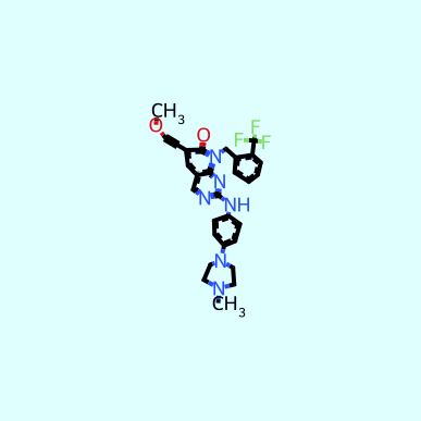 COC#Cc1cc2cnc(Nc3ccc(N4CCN(C)CC4)cc3)nc2n(Cc2ccccc2C(F)(F)F)c1=O